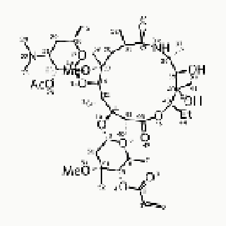 C=CC(=O)O[C@H]1[C@H](C)O[C@@H](O[C@H]2[C@H](C)[C@@H](O[C@@H]3O[C@H](C)C[C@H](N(C)C)[C@H]3OC(C)=O)[C@](C)(OC)C[C@@H](C)C(=O)N[C@H](C)[C@@H](O)[C@](C)(O)[C@@H](CC)OC(=O)[C@@H]2C)C[C@@]1(C)OC